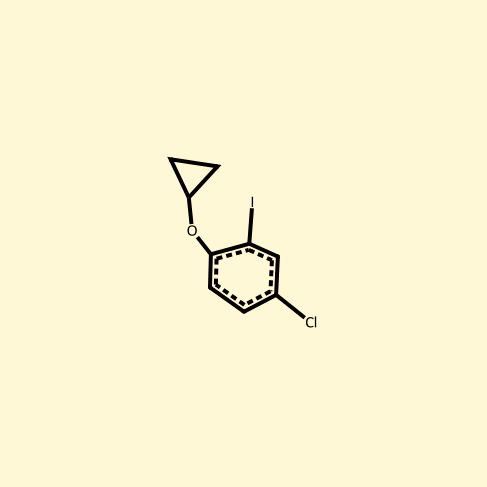 Clc1ccc(OC2CC2)c(I)c1